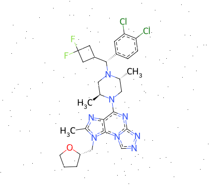 Cc1nc2c(N3C[C@@H](C)N([C@@H](c4ccc(Cl)c(Cl)c4)C4CC(F)(F)C4)C[C@@H]3C)nc3nncn3c2n1C[C@@H]1CCCO1